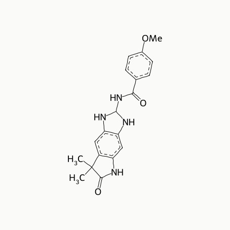 COc1ccc(C(=O)NC2Nc3cc4c(cc3N2)C(C)(C)C(=O)N4)cc1